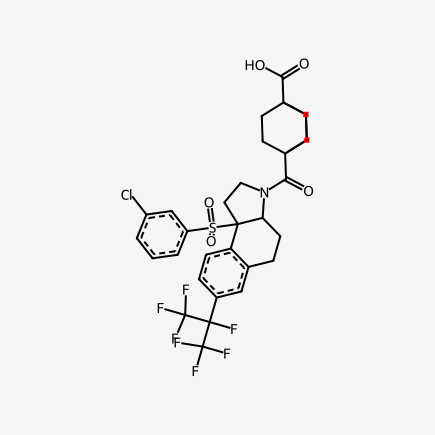 O=C(O)C12CCC(C(=O)N3CCC4(S(=O)(=O)c5cccc(Cl)c5)c5ccc(C(F)(C(F)(F)F)C(F)(F)F)cc5CCC34)(CC1)CC2